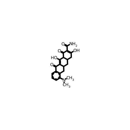 CN(C)c1cccc2c1CC1CC3CC(O)=C(C(N)=O)C(=O)C3C(O)=C1C2=O